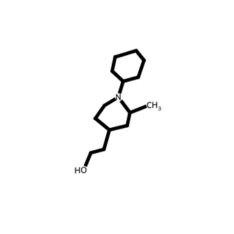 CC1CC(CCO)CCN1C1CCCCC1